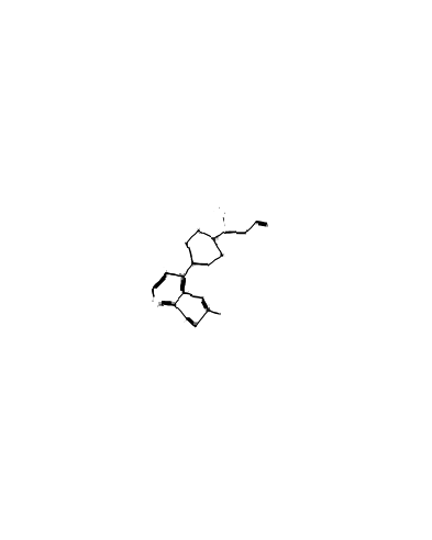 C=CC[C@H](N)C1CCC(c2ccnc3ccc(F)cc23)CC1